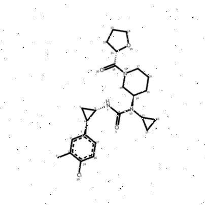 Cc1cc([C@H]2C[C@@H]2NC(=O)N(C2CC2)[C@@H]2CCCN(C(=O)[C@@H]3CCCO3)C2)ccc1Cl